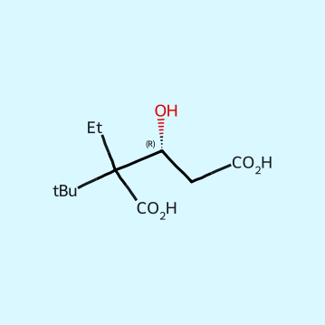 CCC(C(=O)O)([C@H](O)CC(=O)O)C(C)(C)C